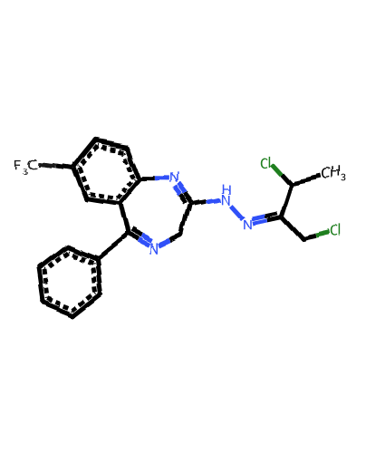 CC(Cl)C(CCl)=NNC1=Nc2ccc(C(F)(F)F)cc2C(c2ccccc2)=NC1